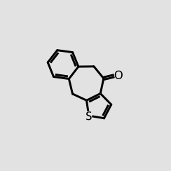 O=C1Cc2ccccc2Cc2sccc21